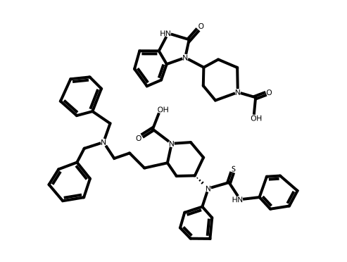 O=C(O)N1CCC(n2c(=O)[nH]c3ccccc32)CC1.O=C(O)N1CC[C@H](N(C(=S)Nc2ccccc2)c2ccccc2)CC1CCCN(Cc1ccccc1)Cc1ccccc1